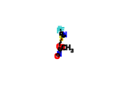 COc1cc(CN2CCOCC2)ccc1OCCCCCSc1ccnc2cc(C(F)(F)F)ccc12